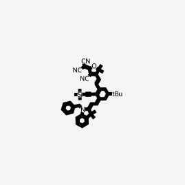 CC1(C)OC(=C(C#N)C#N)C(C#N)=C1C=CC1=C(C#C[Si](C)(C)C)C(=CC=C2N(Cc3ccccc3)c3ccccc3C2(C)C)CC(C(C)(C)C)C1